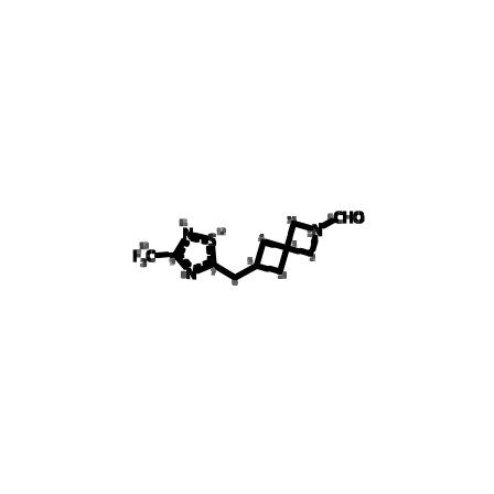 O=CN1CC2(CC(Cc3nc(C(F)(F)F)ns3)C2)C1